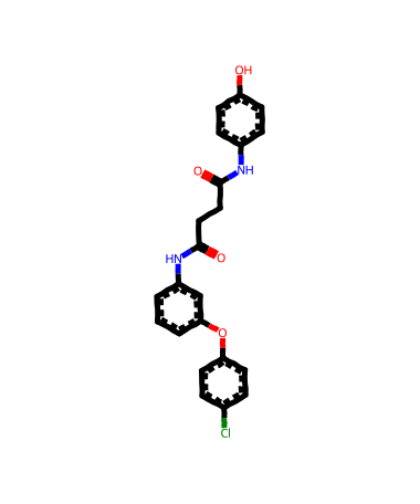 O=C(CCC(=O)Nc1cccc(Oc2ccc(Cl)cc2)c1)Nc1ccc(O)cc1